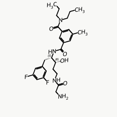 CCCN(CCC)C(=O)c1cc(C)cc(C(=O)N[C@@H](Cc2cc(F)cc(F)c2)[C@H](O)CCNC(=O)CN)c1